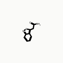 NC(=O)Cc1snc2ccccc12